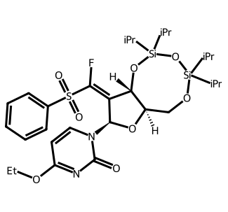 CCOc1ccn([C@@H]2O[C@@H]3CO[Si](C(C)C)(C(C)C)O[Si](C(C)C)(C(C)C)O[C@H]3/C2=C(\F)S(=O)(=O)c2ccccc2)c(=O)n1